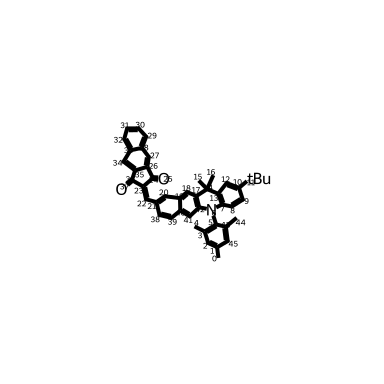 Cc1cc(C)c(N2c3ccc(C(C)(C)C)cc3C(C)(C)c3cc4cc(C=C5C(=O)c6cc7ccccc7cc6C5=O)ccc4cc32)c(C)c1